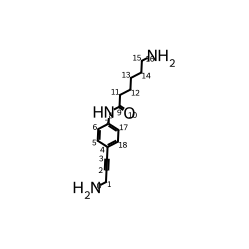 NCC#Cc1ccc(NC(=O)CCCCCN)cc1